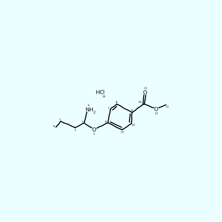 CCCC(N)Oc1ccc(C(=O)OC)cc1.Cl